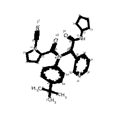 CC(C)(C)c1ccc(N(C(=O)C2CCCN2C#N)C(C(=O)NC2CCCC2)c2cccnc2)cc1